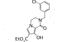 CCOC(=O)c1cn2c(c1O)C(=O)N(Cc1cccc(Cl)c1)CC2